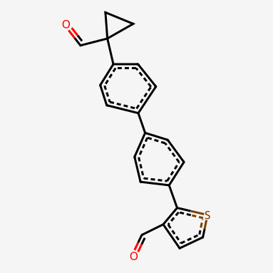 O=Cc1ccsc1-c1ccc(-c2ccc(C3(C=O)CC3)cc2)cc1